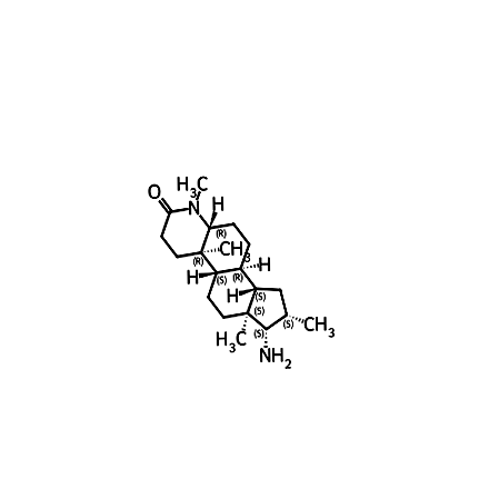 C[C@H]1C[C@H]2[C@@H]3CC[C@H]4N(C)C(=O)CC[C@]4(C)[C@H]3CC[C@]2(C)[C@H]1N